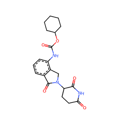 O=C1CCC(N2Cc3c(NC(=O)OC4CCCCC4)cccc3C2=O)C(=O)N1